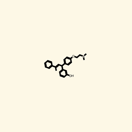 CC(=CC(c1ccc(OCCN(C)C)cc1)c1cccc(O)c1)c1ccccc1